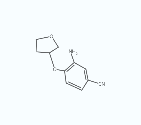 N#Cc1ccc(OC2CCOC2)c(N)c1